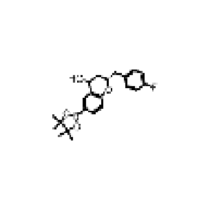 CC1(C)OB(c2ccc3c(c2)[C@@H](O)C[C@@H](Cc2ccc(F)cc2)O3)OC1(C)C